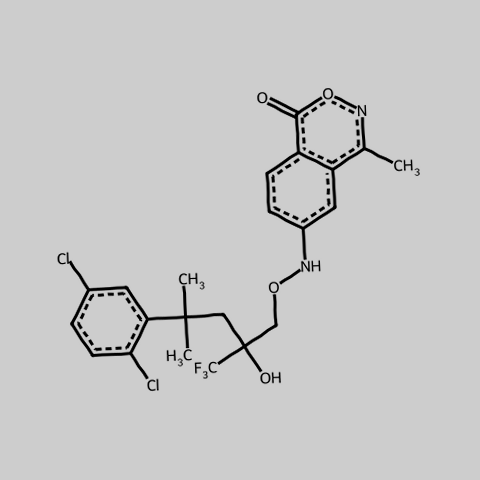 Cc1noc(=O)c2ccc(NOCC(O)(CC(C)(C)c3cc(Cl)ccc3Cl)C(F)(F)F)cc12